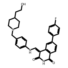 O=C1NC(=O)c2ccc(-c3ccc(F)cc3)cc2/C1=C/Nc1ccc(CN2CCC(CCO)CC2)cc1